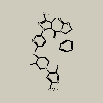 COc1cc(N2CCC(Oc3ccc(N4N=C(C(F)(F)F)C(C)C4C(=O)N4C(=O)OC[C@@H]4c4ccccc4)cn3)C(C)C2)c(Cl)cn1